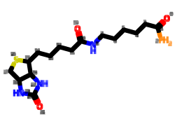 O=C(P)CCCCCNC(=O)CCCCC1SCC2NC(=O)NC21